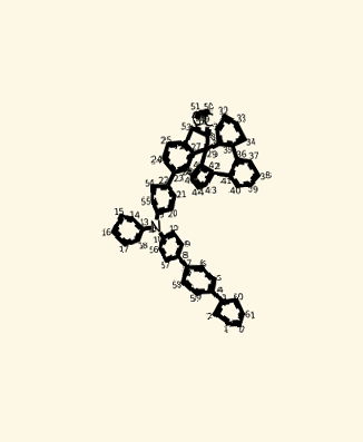 c1ccc(-c2ccc(-c3ccc(N(c4ccccc4)c4ccc(-c5ccc6c(c5)C5(c7ccccc7-c7ccccc7-c7ccccc75)c5ccccc5-6)cc4)cc3)cc2)cc1